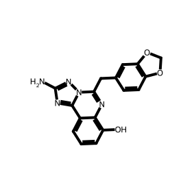 Nc1nc2c3cccc(O)c3nc(Cc3ccc4c(c3)OCO4)n2n1